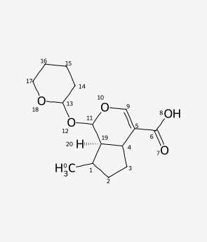 CC1CCC2C(C(=O)O)=COC(OC3CCCCO3)[C@H]12